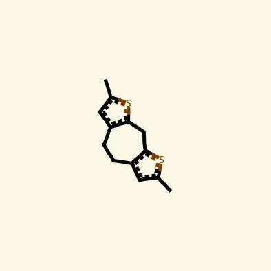 Cc1cc2c(s1)Cc1sc(C)cc1CC2